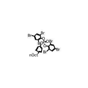 CCCCCCCCc1ccc(OP(=O)(Oc2c(Br)cc(Br)cc2Br)Oc2c(Br)cc(Br)cc2Br)cc1